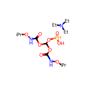 CC(C)ONC(=O)OC(OC(=O)NOC(C)C)O[PH](=O)O.CCN(CC)CC